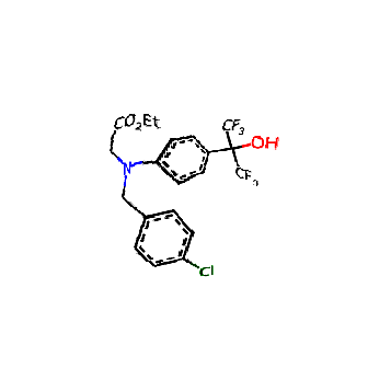 CCOC(=O)CN(Cc1ccc(Cl)cc1)c1ccc(C(O)(C(F)(F)F)C(F)(F)F)cc1